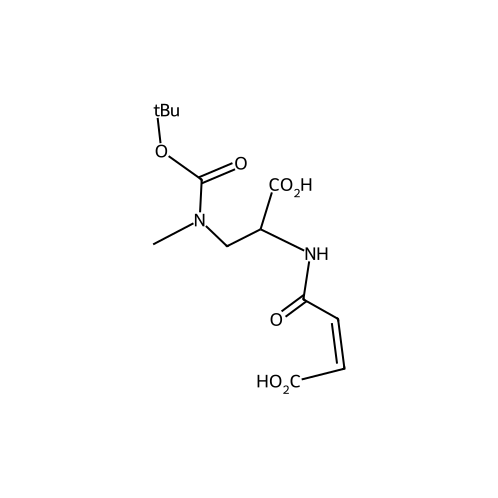 CN(CC(NC(=O)/C=C\C(=O)O)C(=O)O)C(=O)OC(C)(C)C